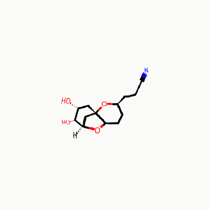 N#CCC[C@H]1CCC2O[C@@H]3C[C@]2(C[C@@H](O)[C@H]3O)O1